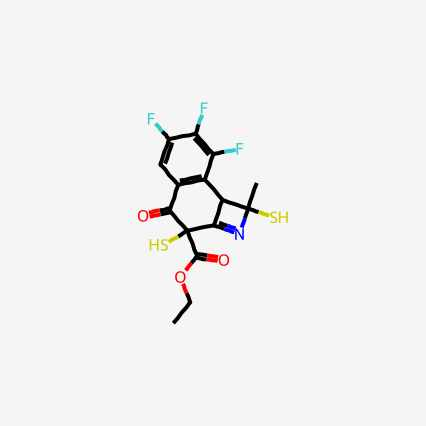 CCOC(=O)C1(S)C(=O)c2cc(F)c(F)c(F)c2C2C1=NC2(C)S